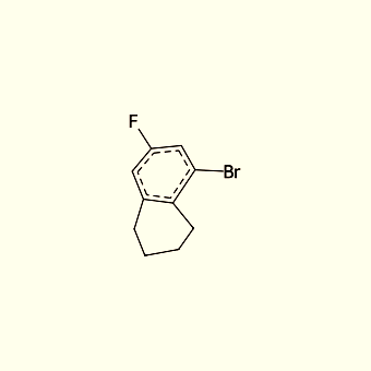 Fc1cc(Br)c2c(c1)CCCC2